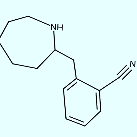 N#Cc1ccccc1CC1CCCCCN1